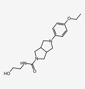 CCOc1ccc(N2CC3CN(C(=O)NCCO)CC3C2)cc1